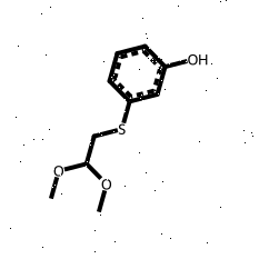 COC(CSc1cccc(O)c1)OC